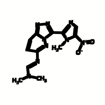 CN(C)C=Nc1ccc2nnc(-c3ncc([N+](=O)[O-])n3C)n2n1